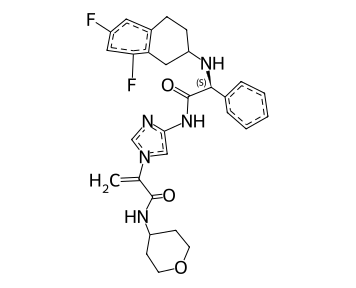 C=C(C(=O)NC1CCOCC1)n1cnc(NC(=O)[C@@H](NC2CCc3cc(F)cc(F)c3C2)c2ccccc2)c1